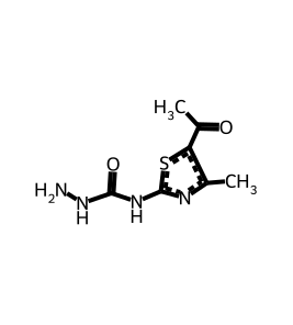 CC(=O)c1sc(NC(=O)NN)nc1C